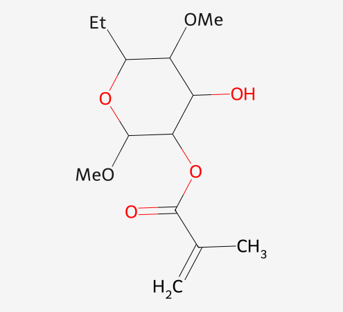 C=C(C)C(=O)OC1C(OC)OC(CC)C(OC)C1O